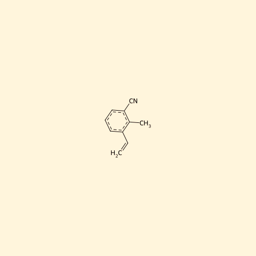 C=Cc1cccc(C#N)c1C